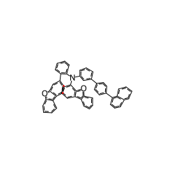 c1cc(-c2ccc(-c3cccc4ccccc34)cc2)cc(N(c2ccccc2-c2ccc3c(c2)oc2ccccc23)c2cccc3c2oc2ccccc23)c1